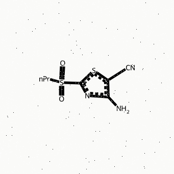 CCCS(=O)(=O)c1nc(N)c(C#N)s1